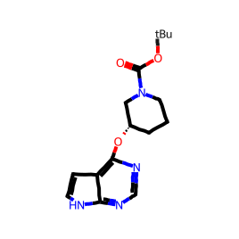 CC(C)(C)OC(=O)N1CCC[C@H](Oc2ncnc3[nH]ccc23)C1